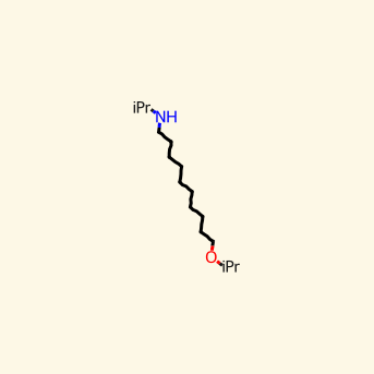 CC(C)NCCCCCCCCCCOC(C)C